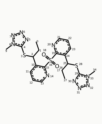 CCC(Sc1nnnn1C)c1cccnc1S(=O)(=O)c1ncccc1C(CC)Sc1nnnn1C